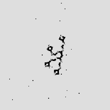 C(SC1CSC1)SC(CC(SCSC1CSC1)SCSC1CSC1)SCSC1CSC1